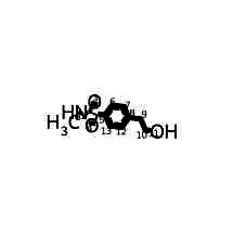 CNS(=O)(=O)c1ccc(CCO)cc1